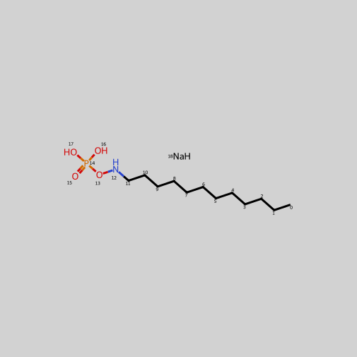 CCCCCCCCCCCCNOP(=O)(O)O.[NaH]